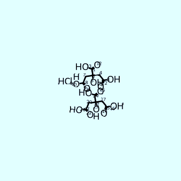 Cl.O=C(O)CC(O)(CC(=O)O)C(=O)O.O=C(O)CC(O)(CC(=O)O)C(=O)O